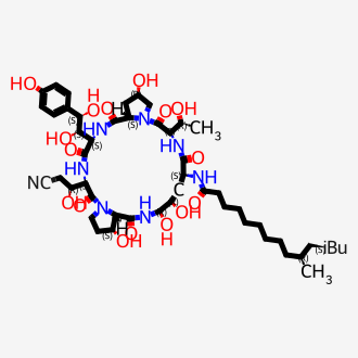 CC[C@H](C)C[C@H](C)CCCCCCCCC(=O)N[C@H]1C[C@@H](O)[C@@H](O)NC(=O)[C@@H]2[C@@H](O)CCN2C(=O)[C@H]([C@H](O)CC#N)NC(=O)[C@H]([C@H](O)[C@@H](O)c2ccc(O)cc2)NC(=O)[C@@H]2C[C@@H](O)CN2C(=O)[C@H]([C@@H](C)O)NC1=O